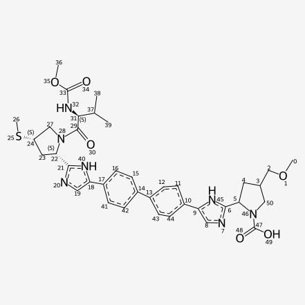 COCC1CC(c2ncc(-c3ccc(-c4ccc(-c5cnc([C@@H]6C[C@H](SC)CN6C(=O)[C@@H](NC(=O)OC)C(C)C)[nH]5)cc4)cc3)[nH]2)N(C(=O)O)C1